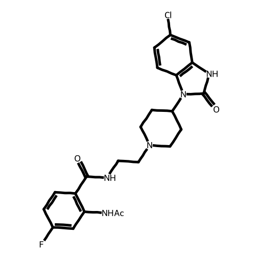 CC(=O)Nc1cc(F)ccc1C(=O)NCCN1CCC(n2c(=O)[nH]c3cc(Cl)ccc32)CC1